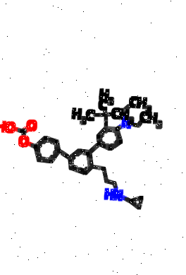 CCN(CC)c1ccc(-c2cc(-c3ccc(OC(=O)O)cc3)ccc2CCCNC2CC2)cc1C(C)(C)C